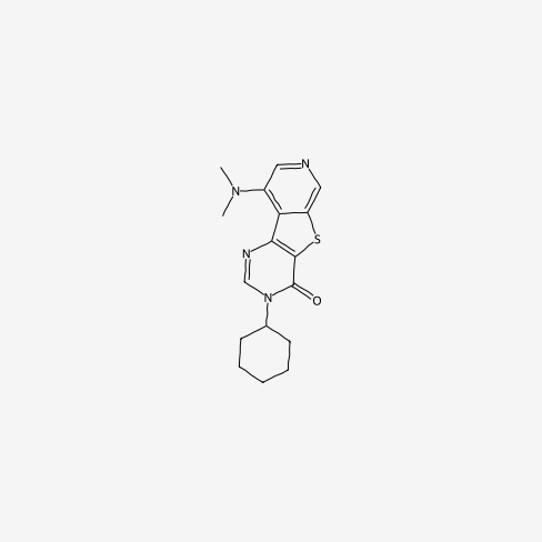 CN(C)c1cncc2sc3c(=O)n(C4CCCCC4)cnc3c12